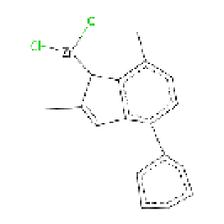 CC1=Cc2c(-c3ccccc3)ccc(C)c2[CH]1[Zr]([Cl])[Cl]